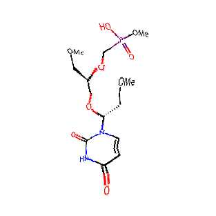 COC[C@@H](OCP(=O)(O)OC)O[C@H](COC)n1ccc(=O)[nH]c1=O